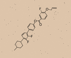 C=CCOc1ccc(C(=O)Oc2ccc(-c3ccc(C4CCC(C)CC4)c(F)c3F)cc2)cc1F